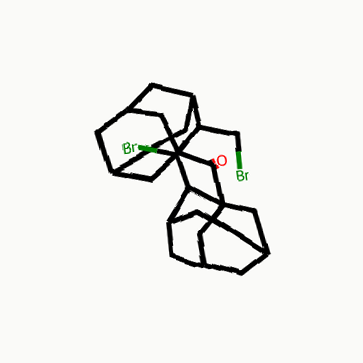 O=C(C12CC3CC(CC(C3)C1CBr)C2)C12CC3CC(CC(C3)C1CBr)C2